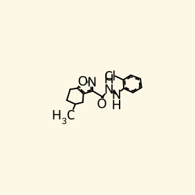 CC1CCc2onc(C(=O)NNc3ccccc3Cl)c2C1